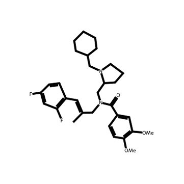 COc1ccc(C(=O)N(CC(C)=Cc2ccc(F)cc2F)CC2CCCN2CC2CCCCC2)cc1OC